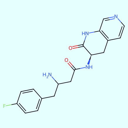 NC(CC(=O)N[C@@H]1Cc2ccncc2NC1=O)Cc1ccc(F)cc1